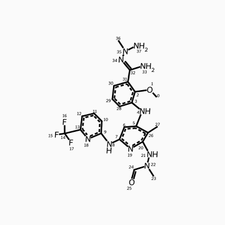 COc1c(Nc2cc(Nc3cccc(C(F)(F)F)n3)nc(NN(C)C=O)c2C)cccc1/C(N)=N/N(C)N